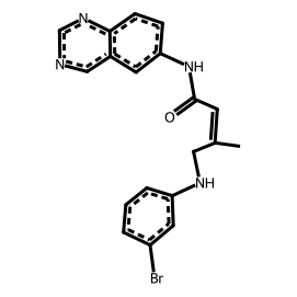 CC(=CC(=O)Nc1ccc2ncncc2c1)CNc1cccc(Br)c1